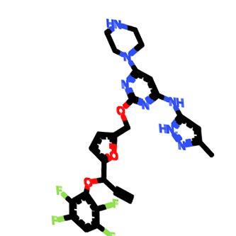 C#CC(Oc1c(F)c(F)cc(F)c1F)c1ccc(COc2nc(Nc3cc(C)n[nH]3)cc(N3CCNCC3)n2)o1